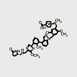 COc1cc(Cn2ncc3c(-c4cccc(-c5cnc(CNC[C@@H]6CCC(=O)N6)c(OC)n5)c4C)cccc32)c(Cl)cc1CN(C)C12CCC(C(=O)O)(CC1)CC2